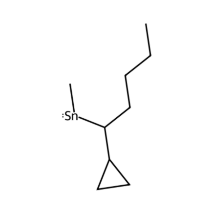 CCCC[CH]([Sn][CH3])C1CC1